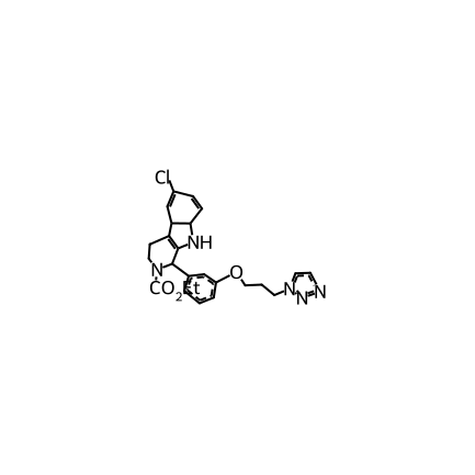 CCOC(=O)N1CCC2=C(NC3C=CC(Cl)=CC23)C1c1cccc(OCCCn2ccnn2)c1